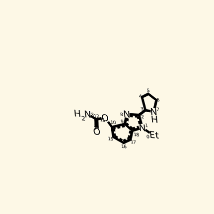 CCn1c(C2CCCN2)nc2c(OC(N)=O)cccc21